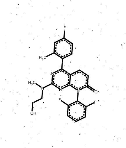 Cc1cc(F)ccc1-c1nc(N(C)CCO)nc2c1ccc(=O)n2-c1c(F)cccc1F